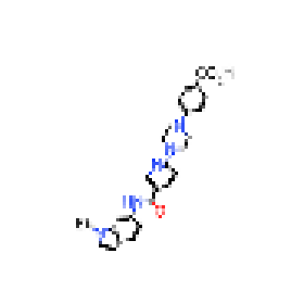 CCn1ccc2ccc(NC(=O)c3ccc(N4CCN(c5ccc(C(=O)O)cc5)CC4)nc3)cc21